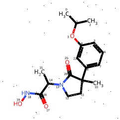 CC(C)Oc1cccc(C2(C)CCN(C(C)C(=O)NO)C2=O)c1